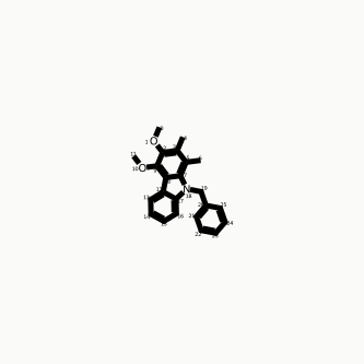 COc1c(C)c(C)c2c(c1OC)c1ccccc1n2Cc1ccccc1